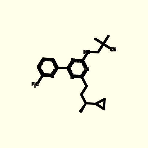 C[C@@H](CCc1nc(NCC(C)(C)C#N)nc(-c2cccc(C(F)(F)F)n2)n1)C1CC1